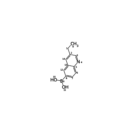 CCc1cnc2ccc(B(O)O)cc2c1